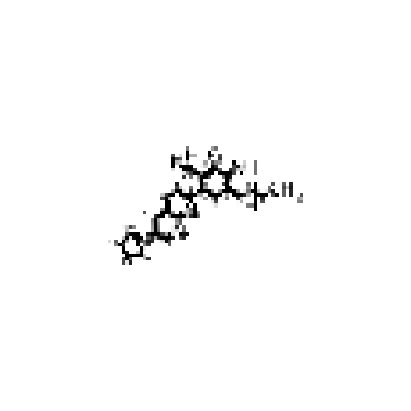 CCN/C=C1/C=C(c2ccc3cc(N4CCCC4)cnc3n2)C(C#N)=C(C)C1=N